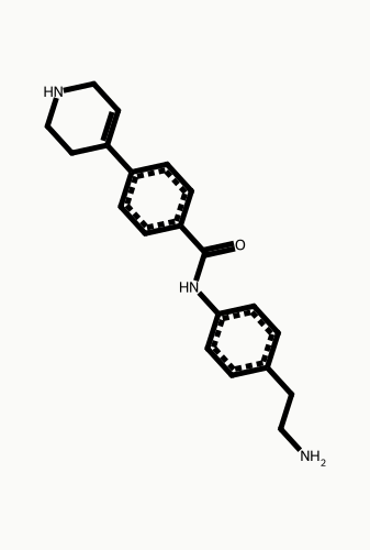 NCCc1ccc(NC(=O)c2ccc(C3=CCNCC3)cc2)cc1